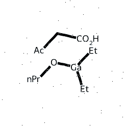 CC(=O)CC(=O)O.CCC[O][Ga]([CH2]C)[CH2]C